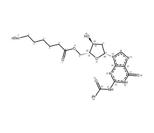 CCCCCCCCCCCCCCCC(=O)OC[C@H]1O[C@@H](n2cnc3c(=O)[nH]c(NC(=O)C(C)C)nc32)C[C@@H]1O